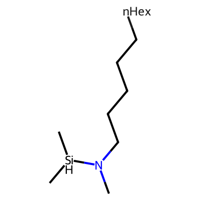 CCCCCCCCCCCN(C)[SiH](C)C